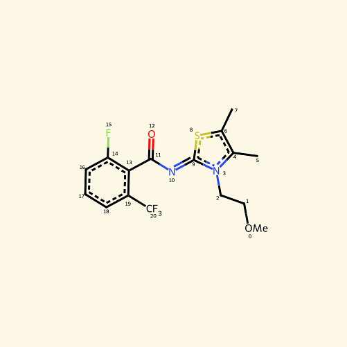 COCCn1c(C)c(C)sc1=NC(=O)c1c(F)cccc1C(F)(F)F